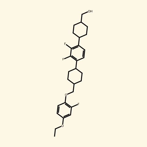 CCOc1ccc(OCC2CCC(c3ccc(C4CCC(CO)CC4)c(F)c3F)CC2)c(F)c1